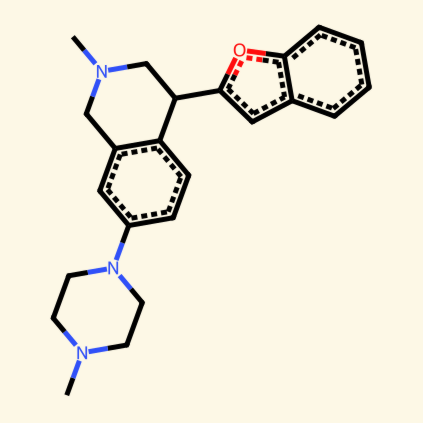 CN1CCN(c2ccc3c(c2)CN(C)CC3c2cc3ccccc3o2)CC1